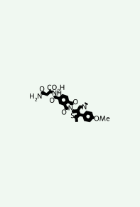 C=NCc1c(N2C(=O)c3ccc(C(=O)N[C@@H](CC(N)=O)C(=O)O)cc3C2=O)sc(C)c1-c1ccc(OC)cc1